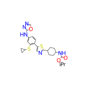 CC(C)OC(=O)NC1CCC(c2ncc(-c3ccc(Nc4nnco4)cc3SC3CC3)s2)CC1